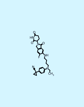 CCN(CCCCNc1cc2c(cc1F)CN(C1CCC(=O)NC1=O)C2=O)c1ccc(C2(C#N)CC2)cc1